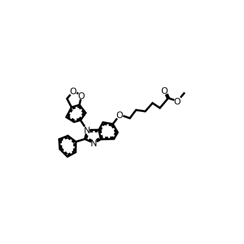 COC(=O)CCCCCOc1ccc2nc(-c3ccccc3)n(-c3ccc4c(c3)OOC4)c2c1